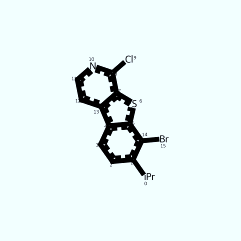 CC(C)c1ccc2c(sc3c(Cl)nccc32)c1Br